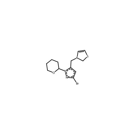 Brc1cc(CN2C=CSC2)n(C2CCCCO2)n1